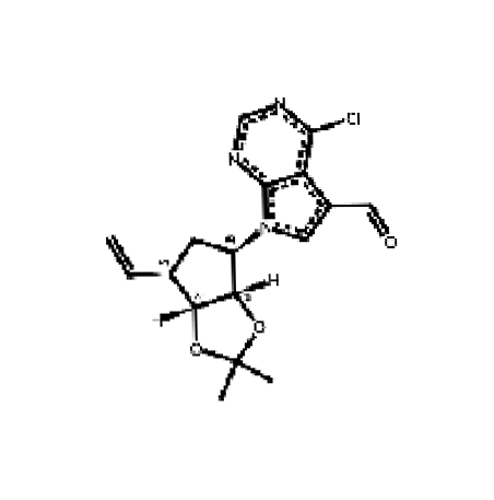 C=C[C@H]1C[C@@H](n2cc(C=O)c3c(Cl)ncnc32)[C@@H]2OC(C)(C)O[C@@H]21